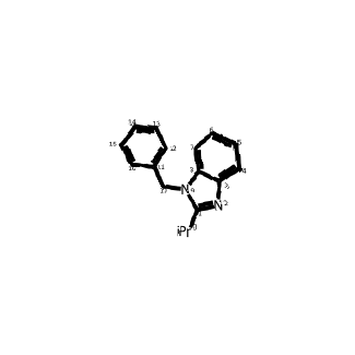 CC(C)c1nc2ccccc2n1Cc1ccccc1